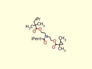 CCCC(C)C(=O)N(CCOC(=O)C(C)(C)CC(C)C)CCOC(=O)C1(C)CC1C